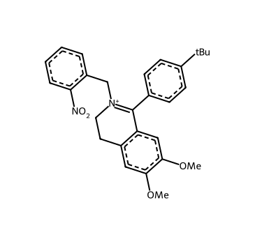 COc1cc2c(cc1OC)C(c1ccc(C(C)(C)C)cc1)=[N+](Cc1ccccc1[N+](=O)[O-])CC2